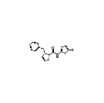 O=C(Nc1ncc(Cl)s1)c1cccn1Cc1ccncc1